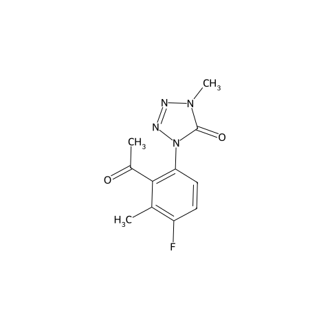 CC(=O)c1c(-n2nnn(C)c2=O)ccc(F)c1C